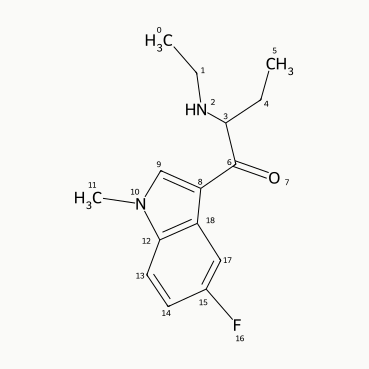 CCNC(CC)C(=O)c1cn(C)c2ccc(F)cc12